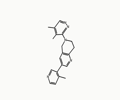 Cc1ccncc1-c1cnc2c(c1)CN(c1nncc(C)c1C)CC2